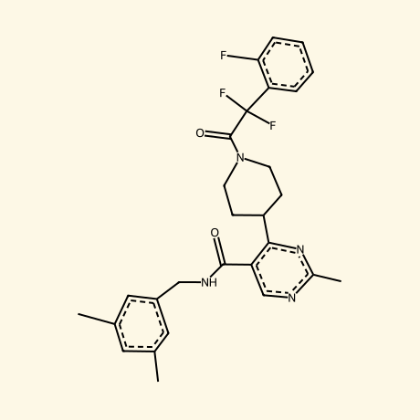 Cc1cc(C)cc(CNC(=O)c2cnc(C)nc2C2CCN(C(=O)C(F)(F)c3ccccc3F)CC2)c1